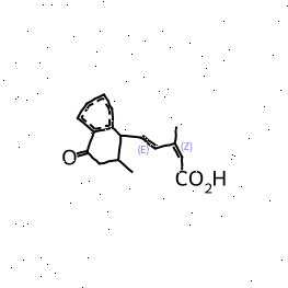 CC(=C/C(=O)O)/C=C/C1c2ccccc2C(=O)CC1C